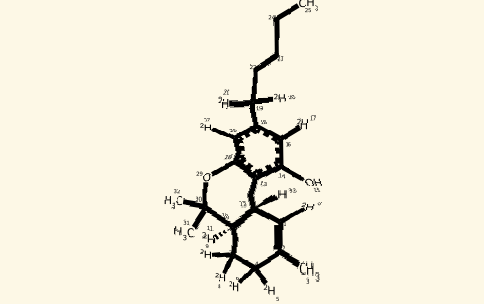 [2H]C1=C(C)C([2H])([2H])C([2H])([2H])[C@]2([2H])[C@@H]1c1c(O)c([2H])c(C([2H])([2H])CCCC)c([2H])c1OC2(C)C